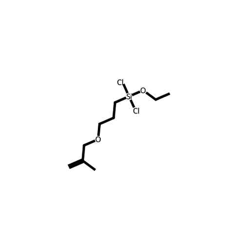 C=C(C)COCCC[Si](Cl)(Cl)OCC